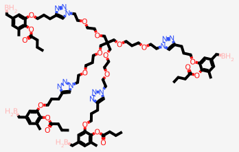 BCc1cc(C)c(OC(=O)CCC)c(OCCCc2cn(CCOCCCOCC(COCCCOCCn3cc(CCCOc4cc(CB)cc(C)c4OC(=O)CCC)nn3)(COCCOCCn3cc(CCCOc4cc(CB)cc(C)c4OC(=O)CCC)nn3)COCCOCCn3cc(CCCOc4cc(CB)cc(C)c4OC(=O)CCC)nn3)nn2)c1